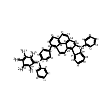 [2H]c1c([2H])c([2H])c(N(c2ccccc2)c2ccc(-c3ccc4ccc5cc6c(c7ccc3c4c57)c3ccccc3n6-c3ccccc3)cc2)c([2H])c1[2H]